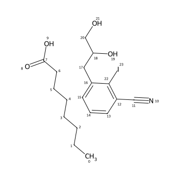 CCCCCCCC(=O)O.N#Cc1cccc(CC(O)CO)c1I